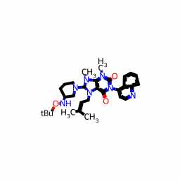 CC(C)=CCN1c2c(n(C)c(=O)n(-c3ccnc4ccccc34)c2=O)N(C)C1N1CCCC(NOC(C)(C)C)C1